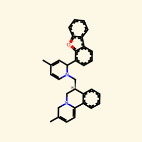 CC1=CC(c2cccc3c2oc2ccccc23)N(C[C@@H]2CN3CC(C)=CC=C3c3ccccc32)C=C1